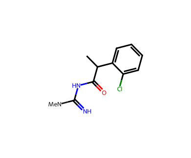 CNC(=N)NC(=O)C(C)c1ccccc1Cl